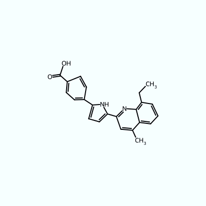 CCc1cccc2c(C)cc(-c3ccc(-c4ccc(C(=O)O)cc4)[nH]3)nc12